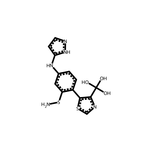 NSc1cc(Nc2ccn[nH]2)ccc1-c1scnc1C(O)(O)O